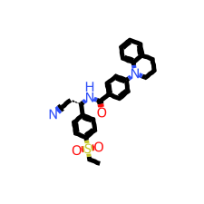 CCS(=O)(=O)c1ccc([C@H](CC#N)NC(=O)c2ccc(N3CCCc4ccccc43)cc2)cc1